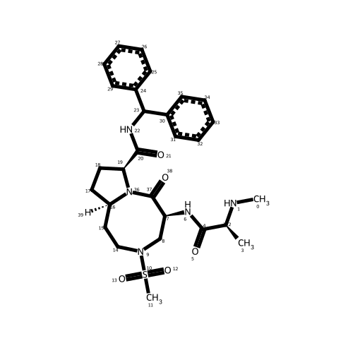 CN[C@@H](C)C(=O)N[C@H]1CN(S(C)(=O)=O)CC[C@H]2CC[C@@H](C(=O)NC(c3ccccc3)c3ccccc3)N2C1=O